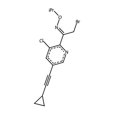 CC(C)ON=C(CBr)c1ncc(C#CC2CC2)cc1Cl